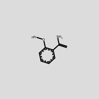 C=C([SiH3])c1ccccc1OCCC